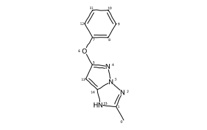 Cc1nn2nc(Oc3ccccc3)cc2[nH]1